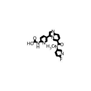 CN(C(=O)c1ccc2ncc(-c3ccc(NC(=O)O)nc3)n2c1)c1ccc(F)nc1